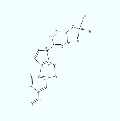 C=Cc1ccc2c(c1)CCc1c-2ccn1C1=CCC(CC(C)(F)F)C=C1